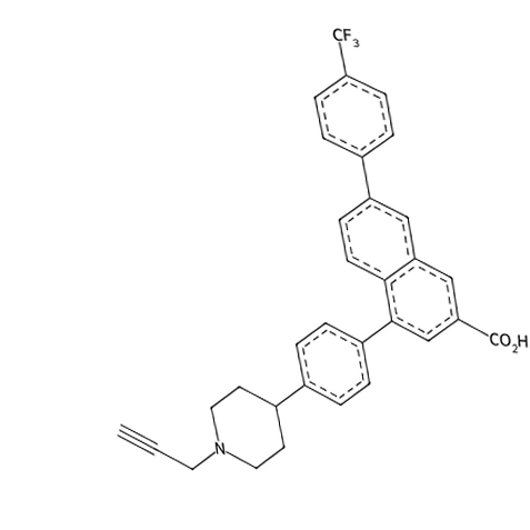 C#CCN1CCC(c2ccc(-c3cc(C(=O)O)cc4cc(-c5ccc(C(F)(F)F)cc5)ccc34)cc2)CC1